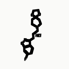 Cl.Fc1ccc2c(CCCN3CCC4(CC3)OCCO4)noc2c1